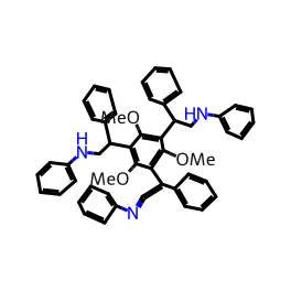 COc1c(C(=C=Nc2ccccc2)c2ccccc2)c(OC)c(C(CNc2ccccc2)c2ccccc2)c(OC)c1C(CNc1ccccc1)c1ccccc1